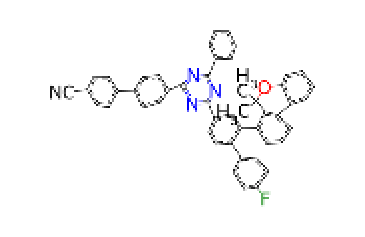 CC1(C)Oc2ccccc2-c2cccc(-c3cc(-c4nc(-c5ccccc5)nc(-c5ccc(-c6ccc(C#N)cc6)cc5)n4)ccc3-c3ccc(F)cc3)c21